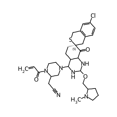 C=CC(=O)N1CCN(C2NC(OCC3CCCN3C)NC3C(=O)[C@]4(CCC32)Cc2ccc(Cl)cc2CS4)CC1CC#N